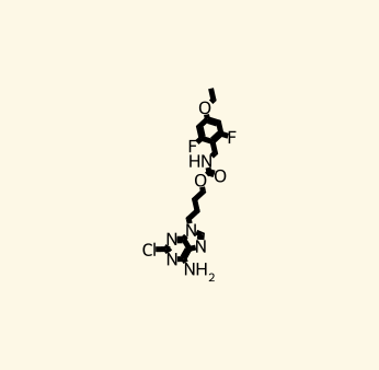 CCOc1cc(F)c(CNC(=O)OCCCCn2cnc3c(N)nc(Cl)nc32)c(F)c1